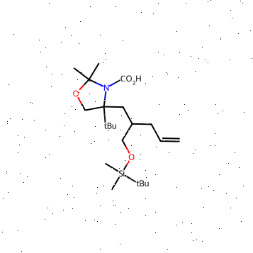 C=CCC(CO[Si](C)(C)C(C)(C)C)CC1(C(C)(C)C)COC(C)(C)N1C(=O)O